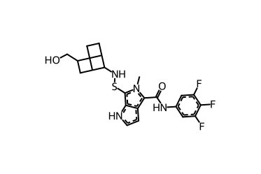 Cn1c(C(=O)Nc2cc(F)c(F)c(F)c2)c2cc[nH]c2c1SNC1C2CCC23C(CO)CC13